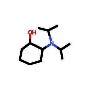 CC(C)N(C(C)C)C1CCCCC1O